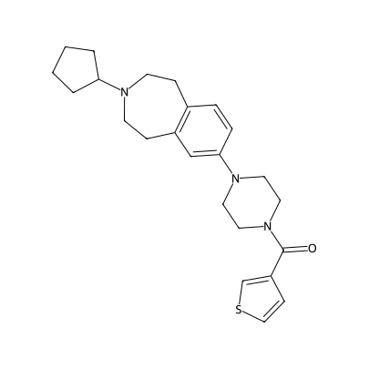 O=C(c1ccsc1)N1CCN(c2ccc3c(c2)CCN(C2CCCC2)CC3)CC1